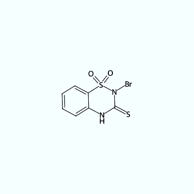 O=S1(=O)c2ccccc2NC(=S)N1Br